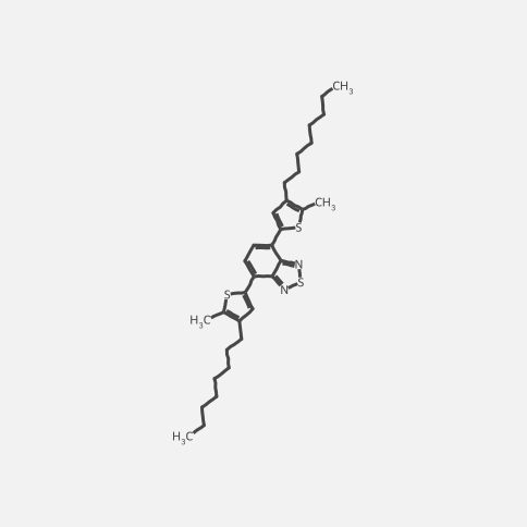 CCCCCCCCc1cc(-c2ccc(-c3cc(CCCCCCCC)c(C)s3)c3nsnc23)sc1C